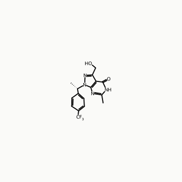 Cc1nc2c(c(CO)nn2[C@@H](C)c2ccc(C(F)(F)F)cc2)c(=O)[nH]1